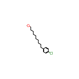 [O]CCCCCCCCCCc1ccc(Cl)cc1